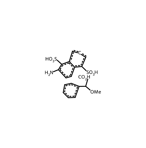 COC(C(=O)O)c1ccccc1.Nc1ccc2c(S(=O)(=O)O)cccc2c1S(=O)(=O)O